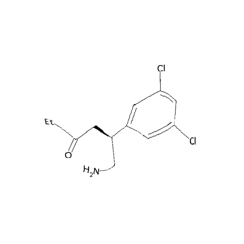 CCC(=O)C[C@H](CN)c1cc(Cl)cc(Cl)c1